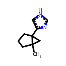 CC12CCCC1(c1c[nH]cn1)C2